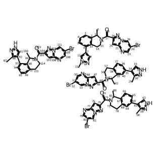 CC1c2cccc(-c3cnn(C)c3)c2CCN1C(=O)c1cc2ncc(Br)cn2n1.Cc1n[nH]cc1-c1ccc2c(c1)C(C)N(C(=O)c1cc3ncc(Br)cn3n1)CC2.Cc1n[nH]cc1-c1ccc2c(c1)CCN(C(=O)c1cc3ncc(Br)cn3n1)C2C.Cc1n[nH]cc1-c1cccc2c1C(C)N(C(=O)c1cc3ncc(Br)cn3n1)CC2